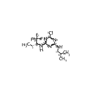 CC[C@@H](Nc1nc(Cl)nc(NCC(C)C)n1)C(F)(F)F